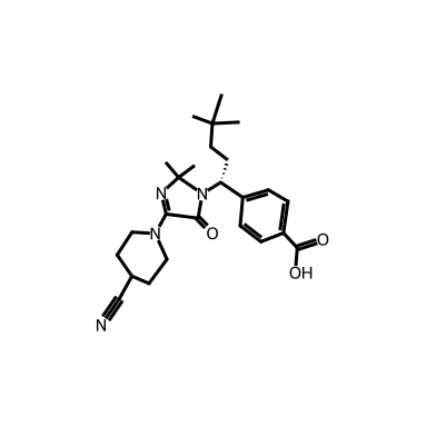 CC(C)(C)CC[C@H](c1ccc(C(=O)O)cc1)N1C(=O)C(N2CCC(C#N)CC2)=NC1(C)C